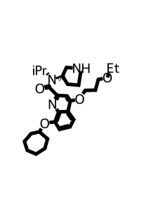 CCOCCCOc1cc(C(=O)N(C(C)C)[C@@H]2CCCNC2)nc2c(OC3CCCCCC3)cccc12